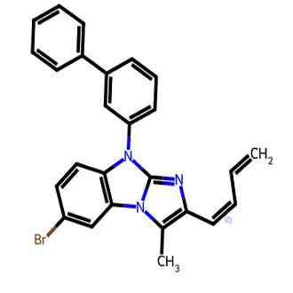 C=C/C=C\c1nc2n(-c3cccc(-c4ccccc4)c3)c3ccc(Br)cc3n2c1C